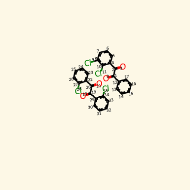 O=C(C(=O)c1cccc(Cl)c1Cl)c1ccccc1.O=C(C(=O)c1ccccc1Cl)c1ccccc1Cl